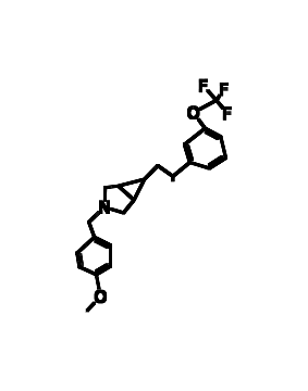 COc1ccc(CN2CC3C(C[CH]c4cccc(OC(F)(F)F)c4)C3C2)cc1